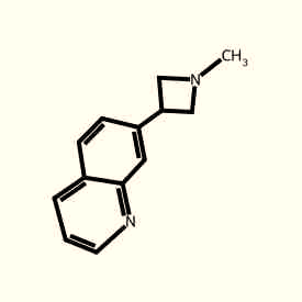 CN1CC(c2ccc3cccnc3c2)C1